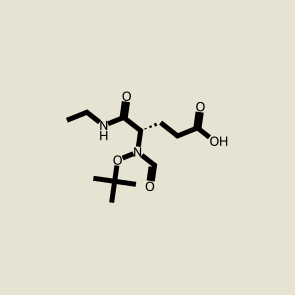 CCNC(=O)[C@H](CCC(=O)O)N(C=O)OC(C)(C)C